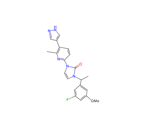 COc1cc(F)cc(C(C)n2ccn(-c3ccc(-c4cn[nH]c4)c(C)n3)c2=O)c1